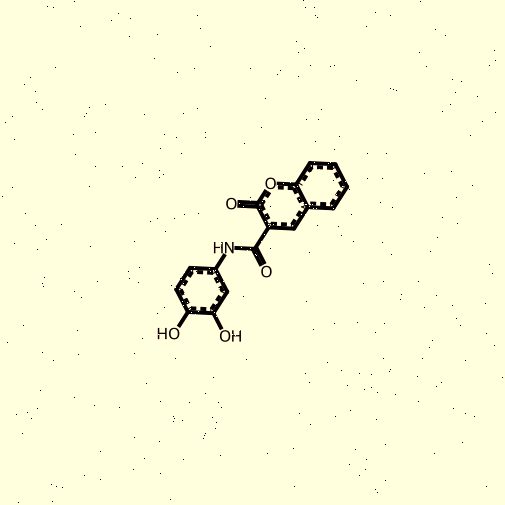 O=C(Nc1ccc(O)c(O)c1)c1cc2ccccc2oc1=O